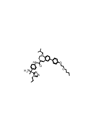 CCCCOCCOc1ccc(-c2ccc3c(c2)C=C(C(=O)Nc2ccc(C(C)(N)c4nncn4CCC)cc2)CCN3CC(C)C)cc1